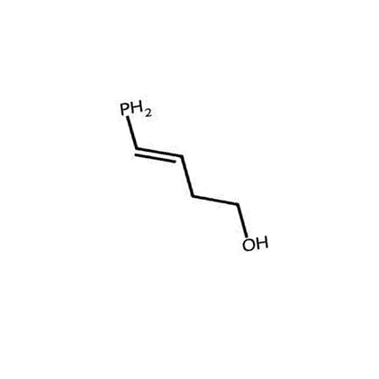 OCCC=CP